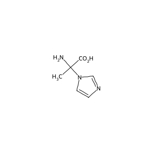 CC(N)(C(=O)O)n1ccnc1